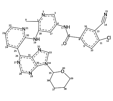 Cc1ncc(NC(=O)c2ccc(Cl)c(C#N)c2)cc1Nc1ncccc1-c1ncnc2c1ncn2C1CCCCO1